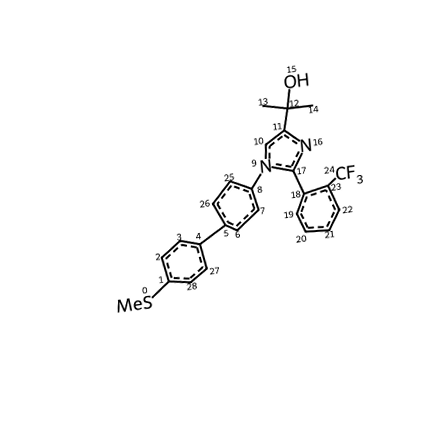 CSc1ccc(-c2ccc(-n3cc(C(C)(C)O)nc3-c3ccccc3C(F)(F)F)cc2)cc1